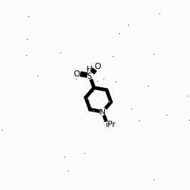 CC(C)N1CCC([SH](=O)=O)CC1